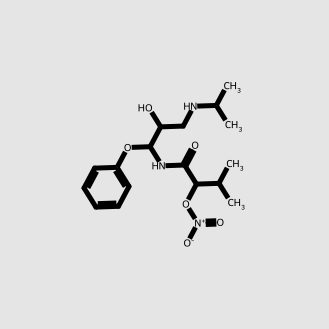 CC(C)NCC(O)C(NC(=O)C(O[N+](=O)[O-])C(C)C)Oc1ccccc1